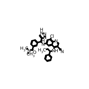 CCC(Nc1c(C#N)cnc2c(Cl)cc(NC(c3cccc(C(=O)N(C)C)c3)c3c[nH]nn3)cc12)c1ccccc1